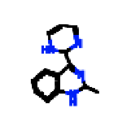 CC1N=C(C2N=CC=CN2)c2ccccc2N1